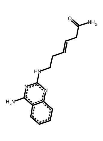 NC(=O)CC=CCCNc1nc(N)c2ccccc2n1